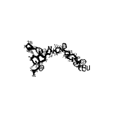 C[C@H]1CCc2c(ccc(-c3cnn(C4CCN(C(=O)C5CC6(CCN(C(=O)OC(C)(C)C)CC6)C5)CC4)c3)c2OC2CCC2)N1C(=O)C1CC1